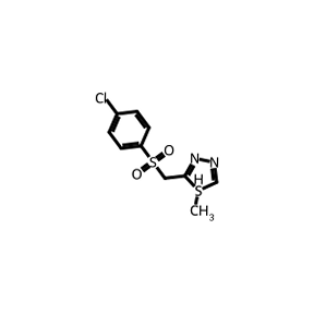 C[SH]1C=NN=C1CS(=O)(=O)c1ccc(Cl)cc1